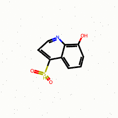 O=[SH](=O)c1ccnc2c(O)cccc12